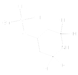 [2H]C1([2H])CC(O[Si](C)(C)C(C)(C)C)CC([2H])([2H])N1